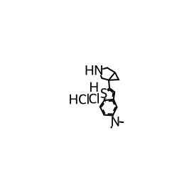 CN(C)c1ccc2sc(C34CNCC3C4)cc2c1.Cl.Cl